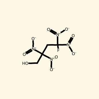 O=[N+]([O-])C(F)(CC(CO)([N+](=O)[O-])[N+](=O)[O-])[N+](=O)[O-]